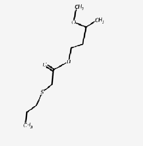 CCCSCC(=O)OCCC(C)OC